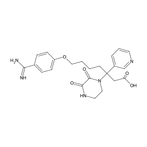 N=C(N)c1ccc(OCCCCC(CC(=O)O)(c2cccnc2)N2CCNC(=O)C2=O)cc1